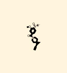 C#CC1CC12CCN(C(=O)c1ccc([N+](=O)[O-])c(OC)c1)CC2